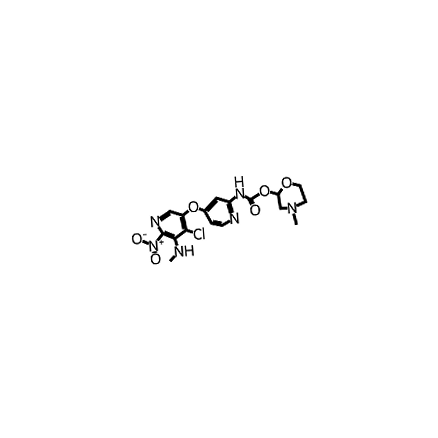 CNc1c([N+](=O)[O-])ncc(Oc2ccnc(NC(=O)OC3CN(C)CCO3)c2)c1Cl